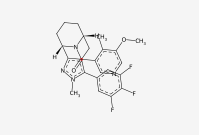 COc1cncc(C(=O)N2[C@@H]3CCC[C@H]2c2nn(C)c(-c4cc(F)c(F)c(F)c4)c2C3)c1C